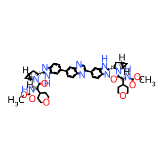 COC(=O)N[C@H](C(=O)N1[C@@H]2C[C@@H]2C[C@H]1c1nc2ccc(-c3ccc4nc(-c5ccc6nc([C@@H]7C[C@H]8C[C@H]8N7C(=O)[C@@H](NC(=O)OC)C7CCOCC7)[nH]c6c5)cnc4c3)cc2[nH]1)C1CCOCC1